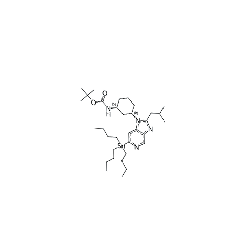 CCC[CH2][Sn]([CH2]CCC)([CH2]CCC)[c]1cc2c(cn1)nc(CC(C)C)n2[C@@H]1CCC[C@H](NC(=O)OC(C)(C)C)C1